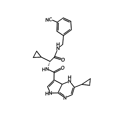 N#Cc1cccc(CNC(=O)[C@H](NC(=O)C2=CNC3=NC=C(C4CC4)NC23)C2CC2)c1